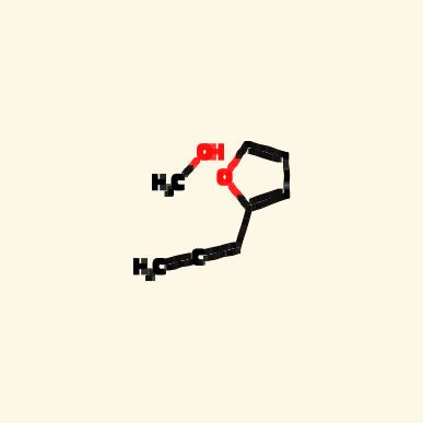 C=C=Cc1ccco1.CO